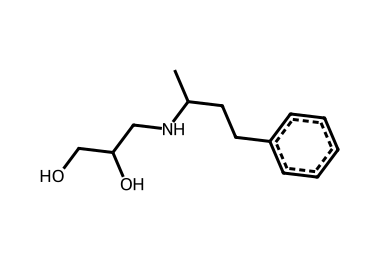 CC(CCc1ccccc1)NCC(O)CO